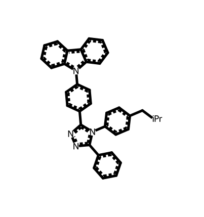 CC(C)Cc1ccc(-n2c(-c3ccccc3)nnc2-c2ccc(-n3c4ccccc4c4ccccc43)cc2)cc1